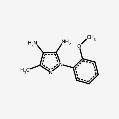 COc1ccccc1-n1nc(C)c(N)c1N